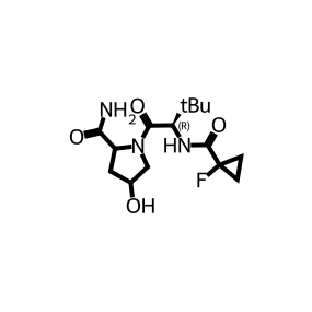 CC(C)(C)[C@@H](NC(=O)C1(F)CC1)C(=O)N1CC(O)CC1C(N)=O